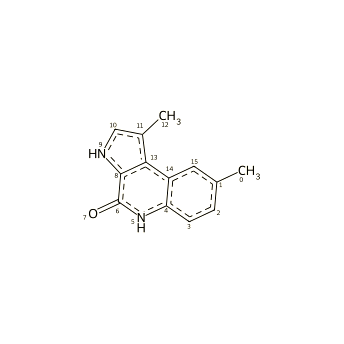 Cc1ccc2[nH]c(=O)c3[nH]cc(C)c3c2c1